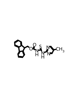 Cc1cnc(NC(=S)NC(=O)OCC2c3ccccc3-c3ccccc32)nc1